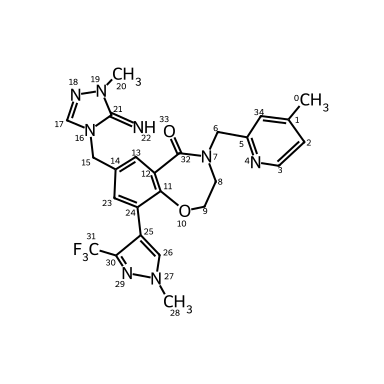 Cc1ccnc(CN2CCOc3c(cc(Cn4cnn(C)c4=N)cc3-c3cn(C)nc3C(F)(F)F)C2=O)c1